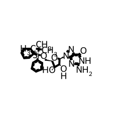 CC(C)(C)[Si](OC[C@H]1O[C@@H](n2cnc3c(=O)[nH]c(N)nc32)[C@H](O)[C@@H]1O)(c1ccccc1)c1ccccc1